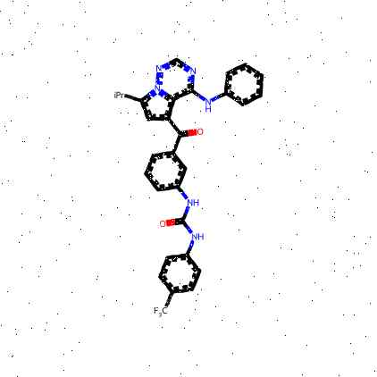 CC(C)c1cc(C(=O)c2cccc(NC(=O)Nc3ccc(C(F)(F)F)cc3)c2)c2c(Nc3ccccc3)ncnn12